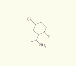 CC(N)C1CC(Cl)CCC1F